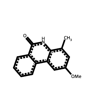 COc1cc(C)c2[nH]c(=O)c3ccccc3c2c1